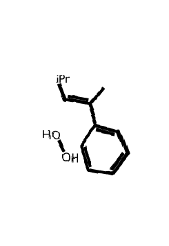 CC(=CC(C)C)c1ccccc1.OO